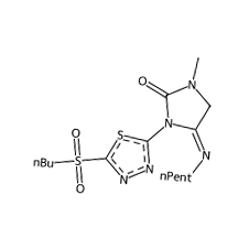 CCCCCN=C1CN(C)C(=O)N1c1nnc(S(=O)(=O)CCCC)s1